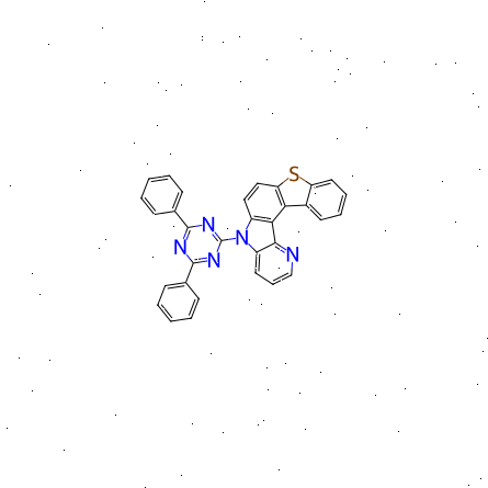 c1ccc(-c2nc(-c3ccccc3)nc(-n3c4cccnc4c4c5c(ccc43)sc3ccccc35)n2)cc1